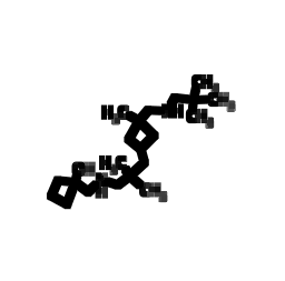 CC(C)(C)CNCC1(C)CC(CC(C)(C)CNCC2(O)CCC2)C1